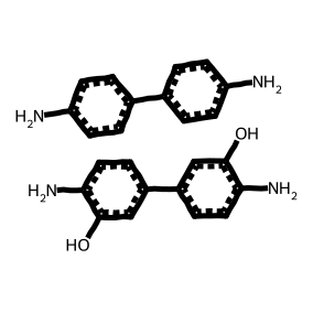 Nc1ccc(-c2ccc(N)c(O)c2)cc1O.Nc1ccc(-c2ccc(N)cc2)cc1